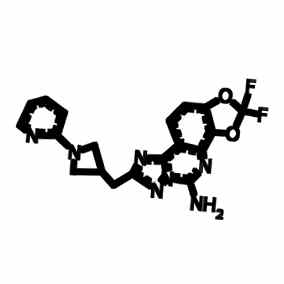 Nc1nc2c3c(ccc2c2nc(CC4CN(c5ccccn5)C4)nn12)OC(F)(F)O3